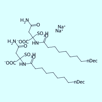 CCCCCCCCCCCCCCCCCC(=O)NC(CC(N)=O)(C(=O)[O-])S(=O)(=O)O.CCCCCCCCCCCCCCCCCC(=O)NC(CC(N)=O)(C(=O)[O-])S(=O)(=O)O.[Na+].[Na+]